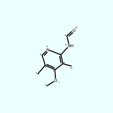 COc1c(C)cnc(NC=O)c1C